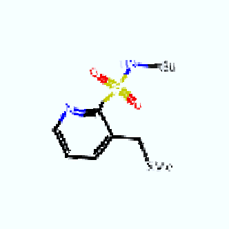 CSCc1cccnc1S(=O)(=O)NC(C)(C)C